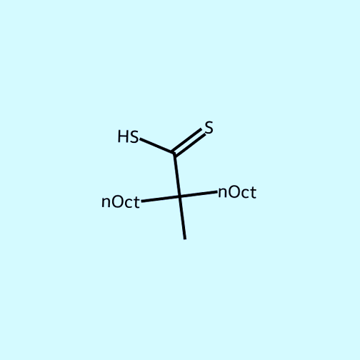 CCCCCCCCC(C)(CCCCCCCC)C(=S)S